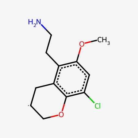 COc1cc(Cl)c2c(c1CCN)C[CH]CO2